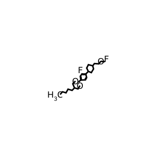 CCCCCC1COC(c2ccc(C3CCC(CCOCF)CC3)c(F)c2)OC1